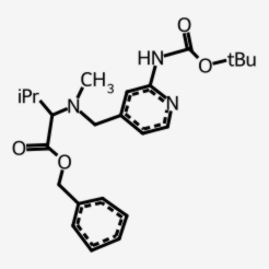 CC(C)C(C(=O)OCc1ccccc1)N(C)Cc1ccnc(NC(=O)OC(C)(C)C)c1